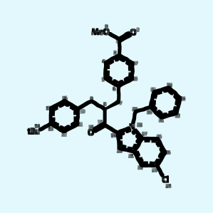 COC(=O)c1ccc(C[C@H](Cc2ccc(C(C)(C)C)cc2)C(=O)c2cc3cc(Cl)ccc3n2Cc2ccccc2)cc1